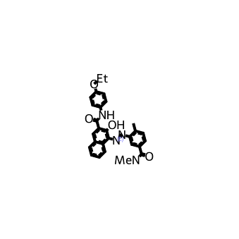 CCOc1ccc(NC(=O)c2cc3ccccc3c(/N=N/c3cc(C(=O)NC)ccc3C)c2O)cc1